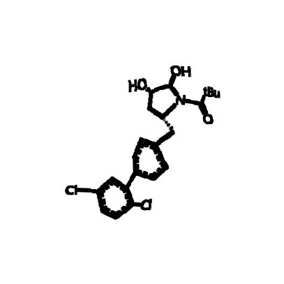 CC(C)(C)C(=O)N1C(O)[C@H](O)C[C@H]1Cc1ccc(-c2cc(Cl)ccc2Cl)cc1